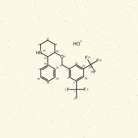 Cl.FC(F)(F)c1cc(COC2CCCNC2c2ccccc2)cc(C(F)(F)F)c1